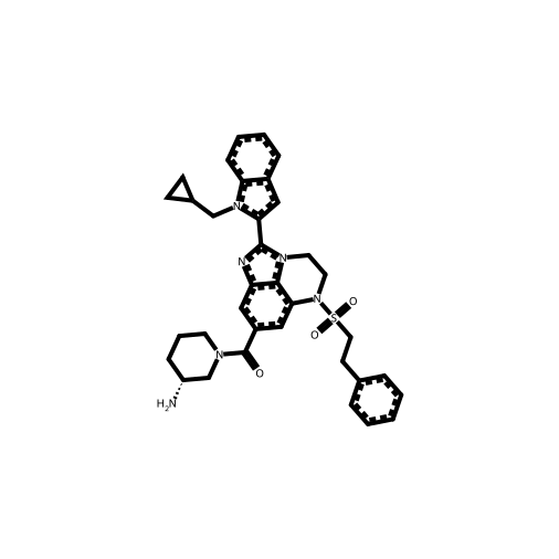 N[C@@H]1CCCN(C(=O)c2cc3c4c(c2)nc(-c2cc5ccccc5n2CC2CC2)n4CCN3S(=O)(=O)CCc2ccccc2)C1